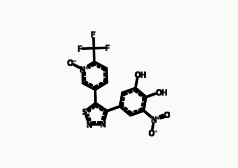 O=[N+]([O-])c1cc(-c2nnsc2-c2ccc(C(F)(F)F)[n+]([O-])c2)cc(O)c1O